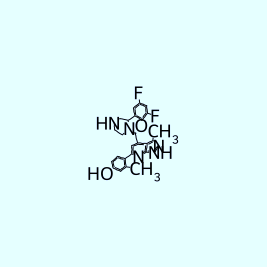 Cc1cc(O)ccc1-c1cc(C(=O)N2CCNCC2c2cc(F)cc(F)c2)c2c(C)n[nH]c2n1